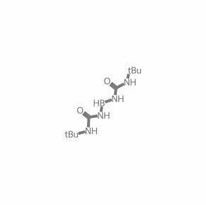 CC(C)(C)NC(=O)NBNC(=O)NC(C)(C)C